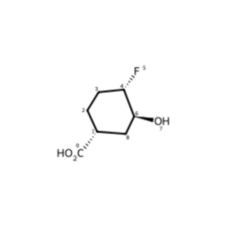 O=C(O)[C@@H]1CC[C@H](F)[C@@H](O)C1